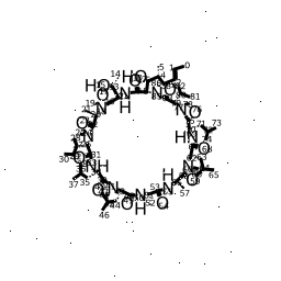 C/C=C/C[C@@H](C)[C@@H](O)[C@H]1C(=O)N[C@@H]([C@@H](C)O)C(=O)N(C)[C@H](C)C(=O)N(C)[C@@H](C(C)CC)C(=O)N[C@@H](CC(C)C)C(=O)N(C)[C@@H](CC(C)C)C(=O)N[C@@H](C)C(=O)N[C@H](C)C(=O)N(C)[C@@H](CC(C)C)C(=O)N[C@@H](CC(C)C)C(=O)N(C)[C@@H](C(C)C)C(=O)N1C